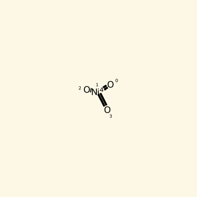 [O]=[Ni-4](=[O])=[O]